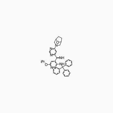 CC(C)Oc1cc(C(=N)c2cc(N3CC4CCC(C3)O4)ncn2)c(NC(c2ccccc2)(c2ccccc2)c2ccccc2)cn1